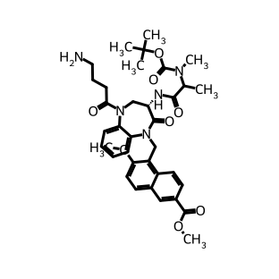 COC(=O)c1ccc2c(CN3C(=O)[C@@H](NC(=O)C(C)N(C)C(=O)OC(C)(C)C)CN(C(=O)CCCN)c4ccccc43)c(OC)ccc2c1